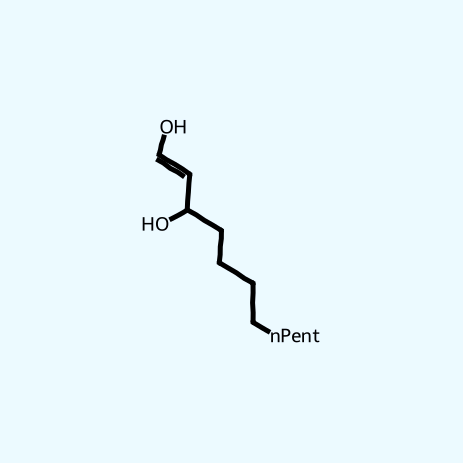 CCCCCCCCCC(O)C=CO